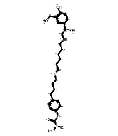 CCN(OC(C)=O)C(=O)Nc1ccc(CCCCOCCCCCCNC[C@@H](O)c2ccc(O)c(CO)c2)cc1